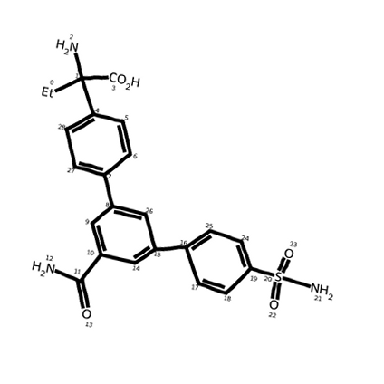 CCC(N)(C(=O)O)c1ccc(-c2cc(C(N)=O)cc(-c3ccc(S(N)(=O)=O)cc3)c2)cc1